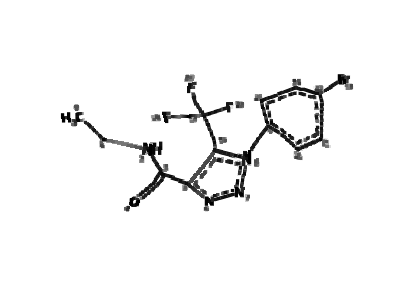 CCNC(=O)c1nnn(-c2ccc(Br)cc2)c1C(F)(F)F